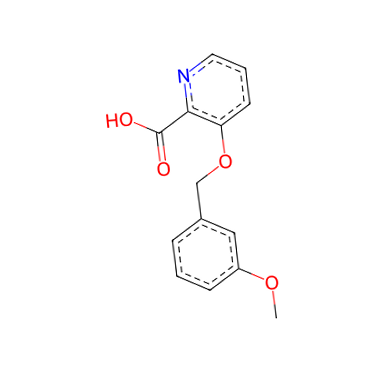 COc1cccc(COc2cccnc2C(=O)O)c1